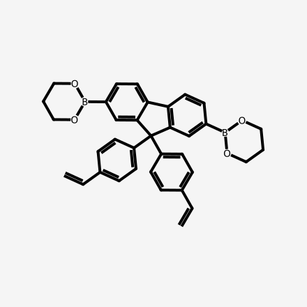 C=Cc1ccc(C2(c3ccc(C=C)cc3)c3cc(B4OCCCO4)ccc3-c3ccc(B4OCCCO4)cc32)cc1